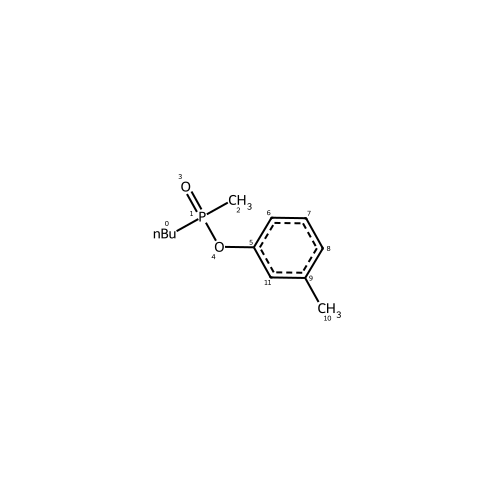 CCCCP(C)(=O)Oc1cccc(C)c1